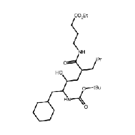 CCOC(=O)CCCNC(=O)C(CC(C)C)CC(O)C(CC1CCCCC1)NC(=O)OC(C)(C)C